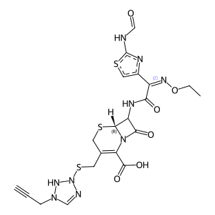 C#CCN1C=NN(SCC2=C(C(=O)O)N3C(=O)C(NC(=O)/C(=N\OCC)c4csc(NC=O)n4)[C@H]3SC2)N1